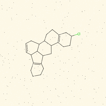 ClC1CCC2=C(CCC3C2CC2C4=C(CCCC4)C4C=CCC3C42)C1